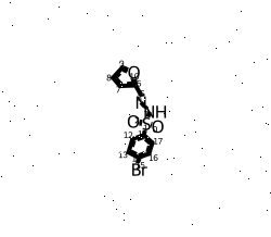 O=S(=O)(N/N=C/c1ccco1)c1ccc(Br)cc1